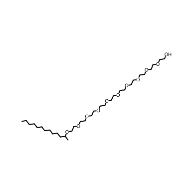 CCCCCCCCCCCC(C)OCCOCCOCCOCCOCCOCCOCCOCCOCCOCCO